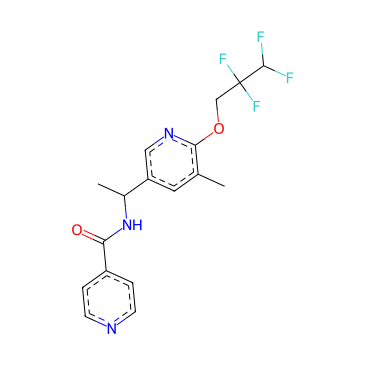 Cc1cc(C(C)NC(=O)c2ccncc2)cnc1OCC(F)(F)C(F)F